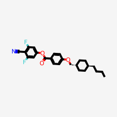 CCCC[C@H]1CC[C@H](COc2ccc(C(=O)Oc3cc(F)c(C#N)c(F)c3)cc2)CC1